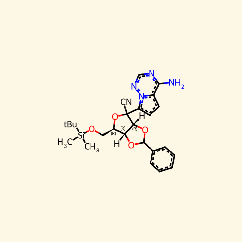 CC(C)(C)[Si](C)(C)OC[C@H]1OC(C#N)(c2ccc3c(N)ncnn23)[C@@H]2OC(c3ccccc3)O[C@@H]21